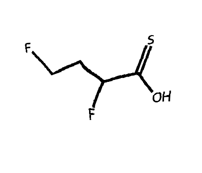 OC(=S)C(F)CCF